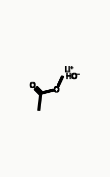 COC(C)=O.[Li+].[OH-]